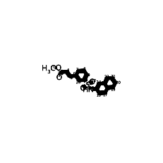 COC(=O)C=Cc1cccc(S(=O)(=O)Nc2ccc3ccccc3c2)c1